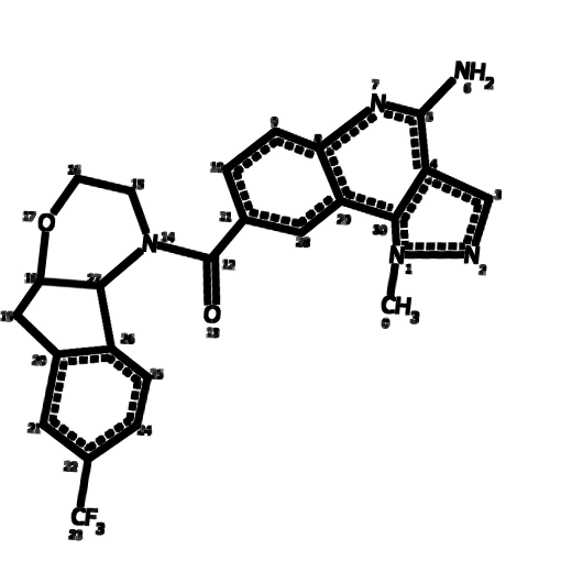 Cn1ncc2c(N)nc3ccc(C(=O)N4CCOC5Cc6cc(C(F)(F)F)ccc6C54)cc3c21